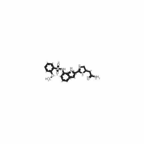 COc1ccccc1S(=O)(=O)Nc1cccc2cc(C3=NCC(CC(N)=O)S3)[nH]c12